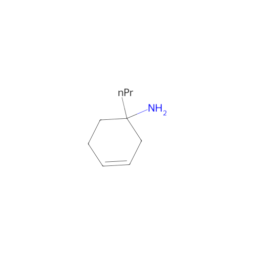 CCCC1(N)CC=CCC1